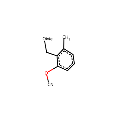 COCc1c(C)cccc1OC#N